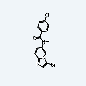 CN(C(=O)c1ccc(Cl)cc1)c1ccc2ncc(Br)n2c1